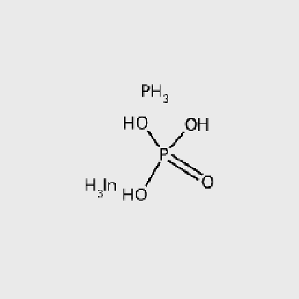 O=P(O)(O)O.P.[InH3]